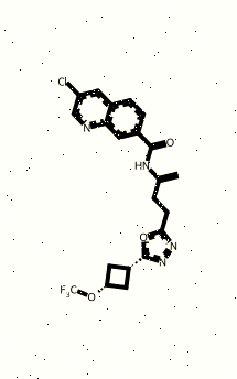 C=C(CCc1nnc([C@H]2C[C@@H](OC(F)(F)F)C2)o1)NC(=O)c1ccc2cc(Cl)cnc2c1